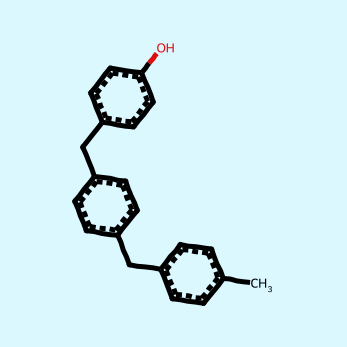 Cc1ccc(Cc2ccc(Cc3ccc(O)cc3)cc2)cc1